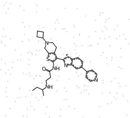 CCC(C)NCCC(=O)Nc1sc2c(c1-c1nc3cc(-c4ccncc4)ccc3s1)CCN(C1CCC1)C2